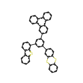 c1ccc2c(c1)Sc1ccc(-c3cc(-c4ccc5c6ccccc6c6ccccc6c5c4)cc(-c4cccc5c4sc4ccccc45)c3)cc1S2